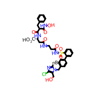 CCCCc1nc(Cl)c(CO)n1Cc1ccc(-c2ccccc2S(=O)(=O)NC(=O)CCNC(=O)C[C@@H](NC(=O)C(Cc2ccccc2)C(=O)NO)C(=O)O)cc1